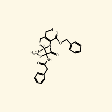 COC1(NC(=O)Cc2ccccc2)C(=O)N2C(C(=O)OCc3ccccc3)=C(CI)CS[C@H]21